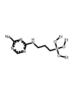 CCO[Si](CCCNc1ncn[c]([Na])n1)(OCC)OCC